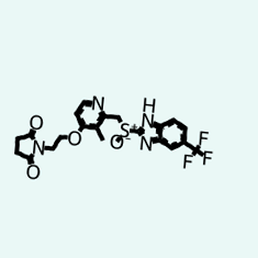 Cc1c(OCCN2C(=O)CCC2=O)ccnc1C[S+]([O-])c1nc2cc(C(F)(F)F)ccc2[nH]1